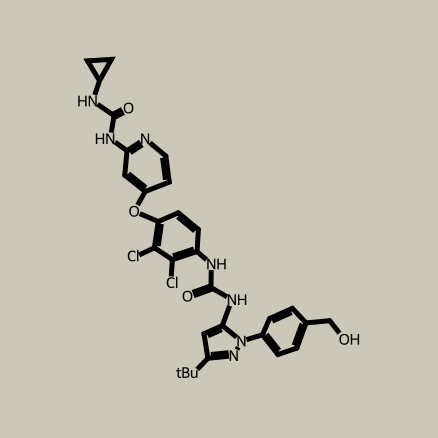 CC(C)(C)c1cc(NC(=O)Nc2ccc(Oc3ccnc(NC(=O)NC4CC4)c3)c(Cl)c2Cl)n(-c2ccc(CO)cc2)n1